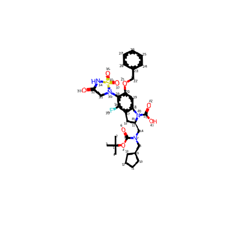 CC(C)(C)OC(=O)N(CC1CCCC1)C[C@H]1Cc2c(cc(OCc3ccccc3)c(N3CC(=O)NS3(=O)=O)c2F)N1C(=O)O